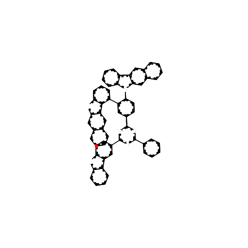 c1ccc(-c2nc(-c3ccc(-n4c5ccccc5c5cc6ccccc6cc54)c(-c4cccc5oc6cc7ccccc7cc6c45)c3)nc(-c3ccc4oc5ccccc5c4c3)n2)cc1